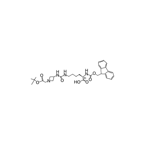 CC(C)(C)OC(=O)CN1CC(NC(=O)NCCCC[C@@H](NC(=O)OCC2c3ccccc3-c3ccccc32)C(=O)O)C1